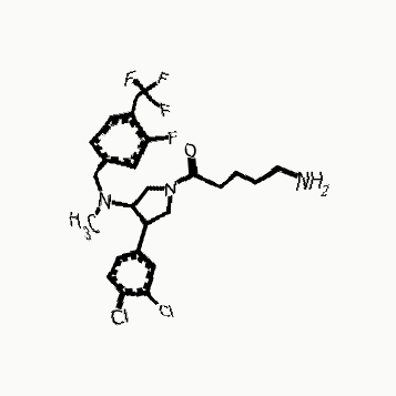 CN(Cc1ccc(C(F)(F)F)c(F)c1)C1CN(C(=O)CCCCN)CC1c1ccc(Cl)c(Cl)c1